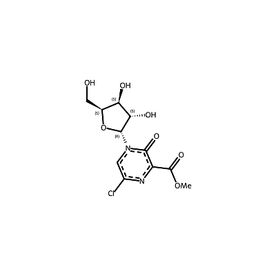 COC(=O)c1nc(Cl)cn([C@@H]2O[C@@H](CO)[C@@H](O)[C@@H]2O)c1=O